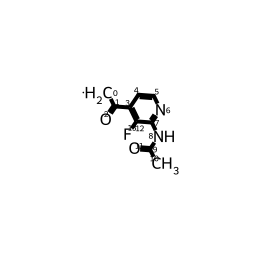 [CH2]C(=O)c1ccnc(NC(C)=O)c1F